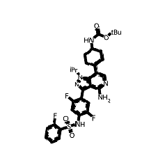 CC(C)n1nc(-c2cc(F)c(NS(=O)(=O)c3ccccc3F)cc2F)c2c(N)ncc(C3=CCC(NC(=O)OC(C)(C)C)CC3)c21